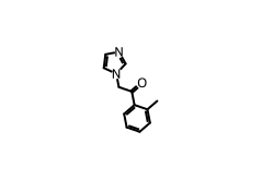 Cc1ccccc1C(=O)Cn1ccnc1